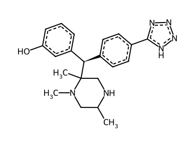 CC1CN(C)C(C)([C@H](c2ccc(-c3nnn[nH]3)cc2)c2cccc(O)c2)CN1